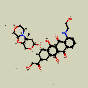 O=C1c2cccc(NCCO)c2C(=O)c2c(O)c3c(c(O)c21)CC(C(=O)CO)C[C@@H]3OC1C[C@H]2C(CO1)OC1COCCN12